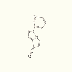 O=C=c1ccn2c1=CSC2c1cccnc1